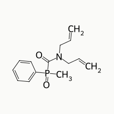 C=CCN(CC=C)C(=O)P(C)(=O)c1ccccc1